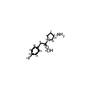 Cl.N[C@H]1CCN(C(=O)Cc2ccc(F)cc2)C1